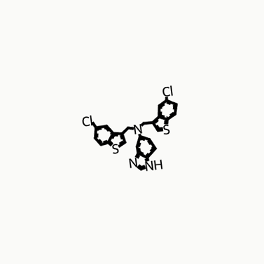 Clc1ccc2scc(CN(Cc3csc4ccc(Cl)cc34)c3ccc4[nH]cnc4c3)c2c1